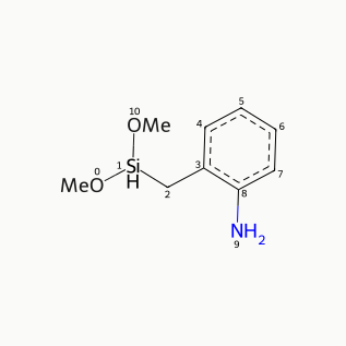 CO[SiH](Cc1ccccc1N)OC